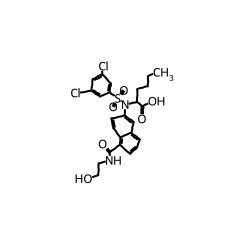 CCCCC(C(=O)O)N(c1ccc2c(C(=O)NCCO)cccc2c1)S(=O)(=O)c1cc(Cl)cc(Cl)c1